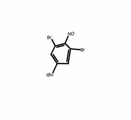 CC(C)(C)c1cc(Br)c(N=O)c(Br)c1